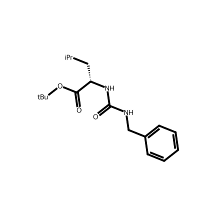 CC(C)C[C@H](NC(=O)NCc1ccccc1)C(=O)OC(C)(C)C